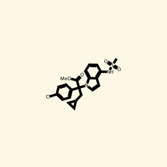 COC(=O)C(CC1CC1)(c1ccc(Cl)cc1)n1ccc2c(NS(C)(=O)=O)cccc21